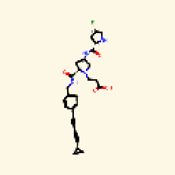 O=C(O)CCN1C[C@H](NC(=O)[C@@H]2C[C@H](F)CN2)C[C@@H]1C(=O)NCc1ccc(C#CC#CC2CC2)cc1